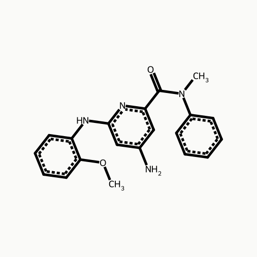 COc1ccccc1Nc1cc(N)cc(C(=O)N(C)c2ccccc2)n1